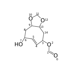 O=COC1/C=C/C(O)CC2OCOC2C1